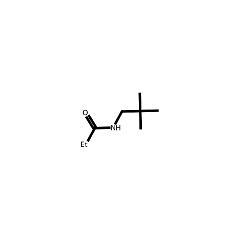 [CH2]CC(=O)NCC(C)(C)C